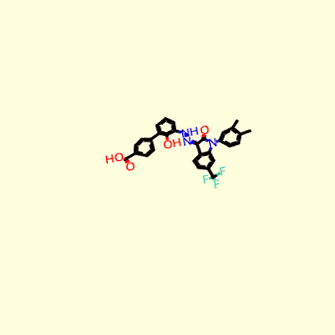 Cc1ccc(N2C(=O)C(=NNc3cccc(-c4ccc(C(=O)O)cc4)c3O)c3ccc(C(F)(F)F)cc32)cc1C